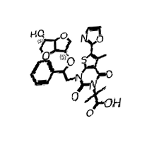 Cc1c(-c2ncco2)sc2c1c(=O)n(C(C)(C)C(=O)O)c(=O)n2CC(O[C@H]1COC2C1OC[C@@H]2O)c1ccccc1